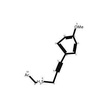 COc1ccc(C#CC[SH2]CC(C)=O)cc1